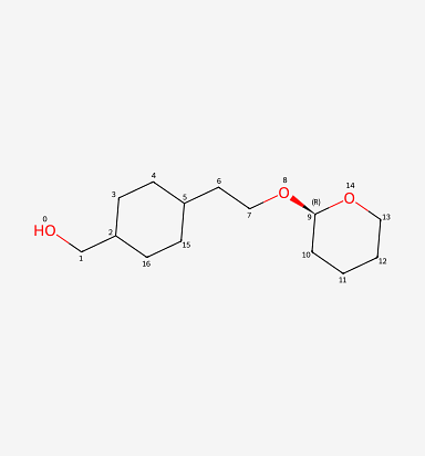 OCC1CCC(CCO[C@@H]2CCCCO2)CC1